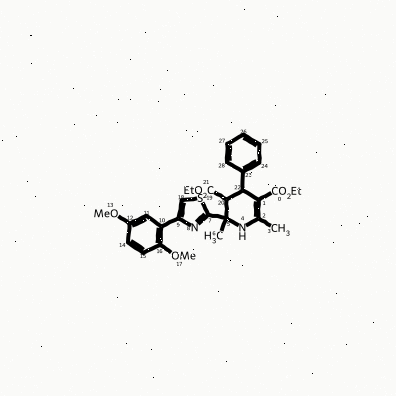 CCOC(=O)C1=C(C)NC(C)(c2nc(-c3cc(OC)ccc3OC)cs2)C(C(=O)OCC)C1c1ccccc1